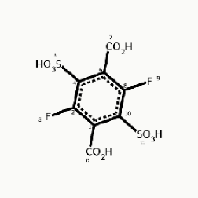 O=C(O)c1c(F)c(S(=O)(=O)O)c(C(=O)O)c(F)c1S(=O)(=O)O